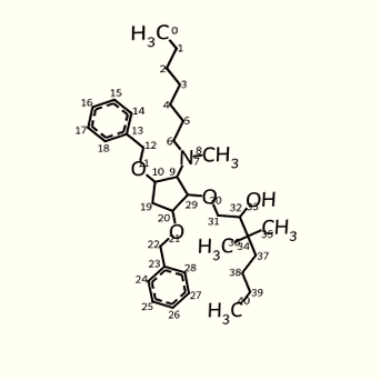 CCCCCCCN(C)C1C(OCc2ccccc2)CC(OCc2ccccc2)C1OCC(O)C(C)(C)CCCC